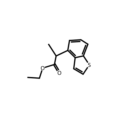 CCOC(=O)C(C)c1cccc2sccc12